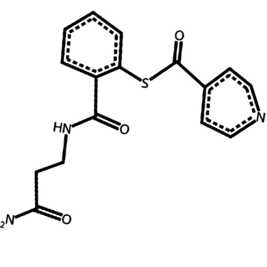 NC(=O)CCNC(=O)c1ccccc1SC(=O)c1ccncc1